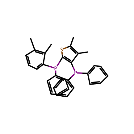 Cc1cccc(P(c2ccccc2)c2sc(C)c(C)c2P(c2ccccc2)c2ccccc2)c1C